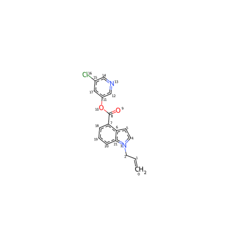 C=CCn1ccc2c(C(=O)Oc3cncc(Cl)c3)cccc21